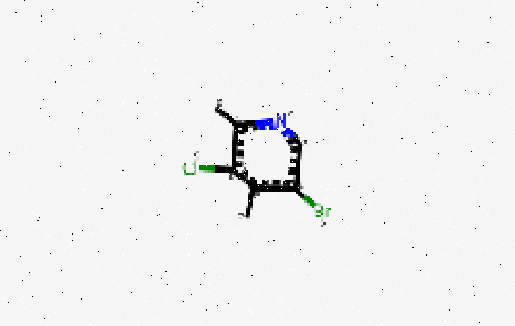 Cc1ncc(Br)c(C)c1Cl